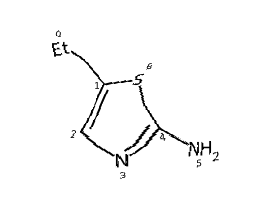 [CH2]Cc1cnc(N)s1